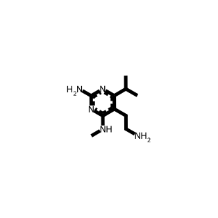 CNc1nc(N)nc(C(C)C)c1CCN